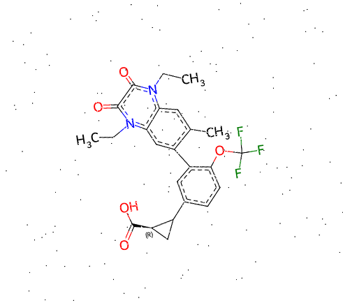 CCn1c(=O)c(=O)n(CC)c2cc(-c3cc(C4C[C@H]4C(=O)O)ccc3OC(F)(F)F)c(C)cc21